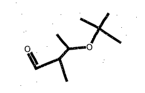 CC(C=O)C(C)OC(C)(C)C